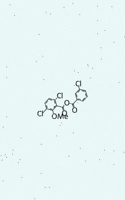 COc1c(Cl)ccc(Cl)c1C(=O)OC(=O)c1cccc(Cl)c1